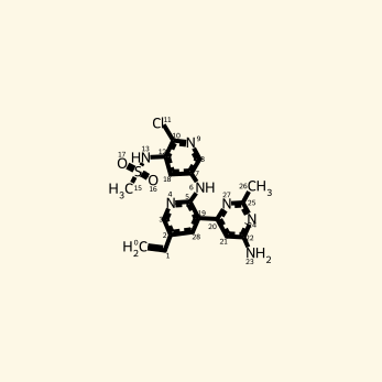 C=Cc1cnc(Nc2cnc(Cl)c(NS(C)(=O)=O)c2)c(-c2cc(N)nc(C)n2)c1